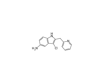 Nc1ccc2[nH]c(Cc3ccccn3)c(Cl)c2c1